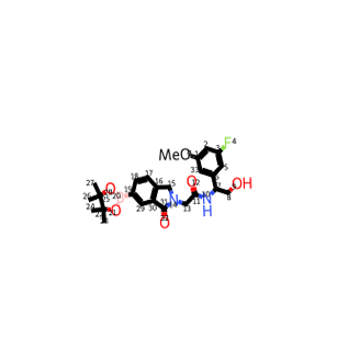 COc1cc(F)cc(C(CO)NC(=O)CN2Cc3ccc(B4OC(C)(C)C(C)(C)O4)cc3C2=O)c1